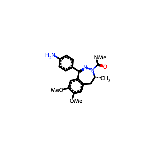 CNC(=O)N1N=C(c2ccc(N)cc2)c2cc(OC)c(OC)cc2C[C@H]1C